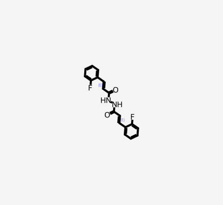 O=C(/C=C/c1ccccc1F)NNC(=O)/C=C/c1ccccc1F